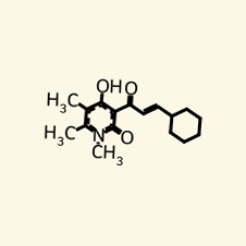 Cc1c(O)c(C(=O)/C=C/C2CCCCC2)c(=O)n(C)c1C